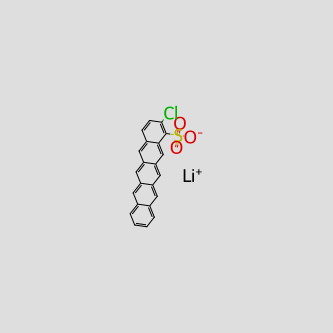 O=S(=O)([O-])c1c(Cl)ccc2cc3cc4cc5ccccc5cc4cc3cc12.[Li+]